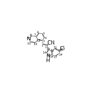 N#C/C(=C\c1cccc2cnccc12)c1c[nH]c2ccc(Cl)cc12